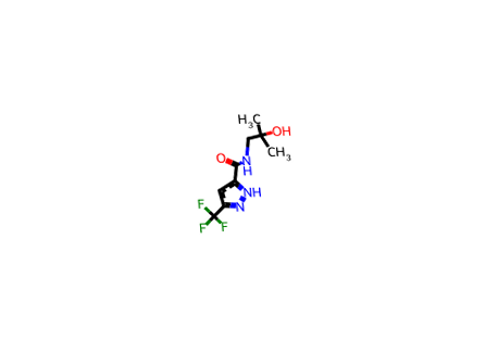 CC(C)(O)CNC(=O)c1cc(C(F)(F)F)n[nH]1